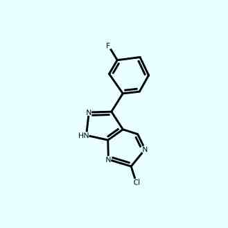 Fc1cccc(-c2n[nH]c3nc(Cl)ncc23)c1